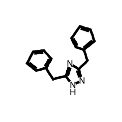 c1ccc(Cc2n[nH]c(Cc3ccccc3)n2)cc1